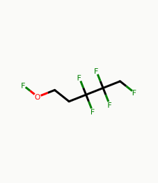 FCC(F)(F)C(F)(F)CCOF